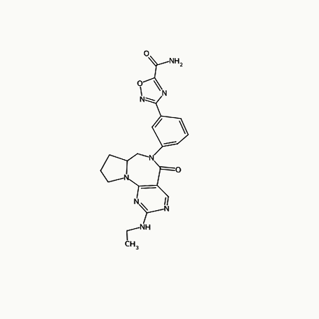 CCNc1ncc2c(n1)N1CCCC1CN(c1cccc(-c3noc(C(N)=O)n3)c1)C2=O